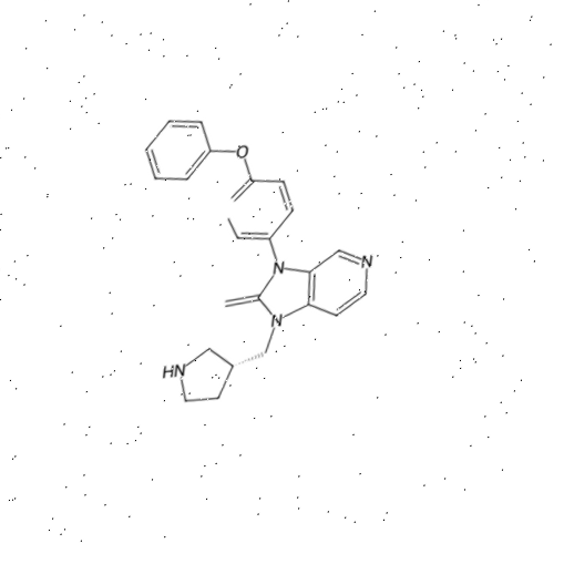 C=C(/C=C\C(=C/C)N1C(=C)N(C[C@@H]2CCNC2)c2ccncc21)Oc1ccccc1